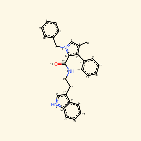 Cc1cn(Cc2ccccc2)c(C(=O)NCCc2c[nH]c3ccccc23)c1-c1ccccc1